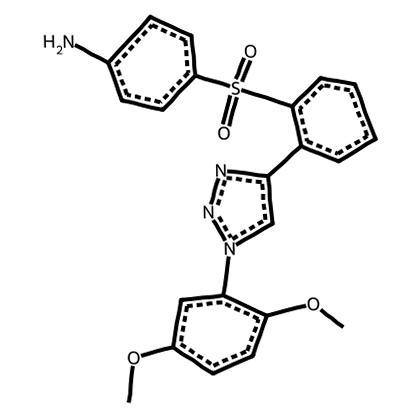 COc1ccc(OC)c(-n2cc(-c3ccccc3S(=O)(=O)c3ccc(N)cc3)nn2)c1